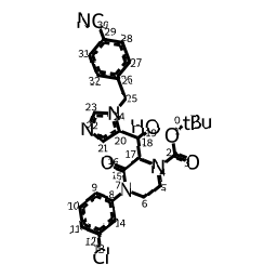 CC(C)(C)OC(=O)N1CCN(c2cccc(Cl)c2)C(=O)C1C(O)c1cncn1Cc1ccc(C#N)cc1